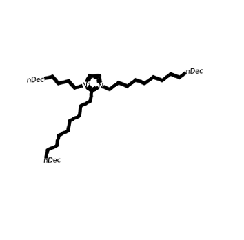 CCCCCCCCCCCCCCCCCCCn1cc[n+](CCCCCCCCCCCCCC)c1CCCCCCCCCCCCCCCCCC